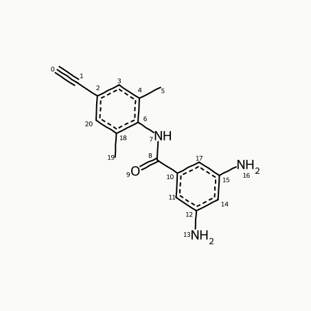 C#Cc1cc(C)c(NC(=O)c2cc(N)cc(N)c2)c(C)c1